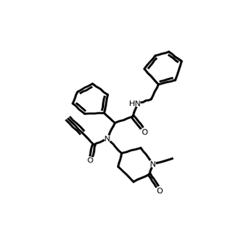 C#CC(=O)N(C1CCC(=O)N(C)C1)C(C(=O)NCc1ccccc1)c1ccccc1